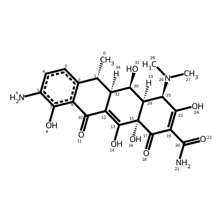 C[C@H]1c2ccc(N)c(O)c2C(=O)C2=C(O)[C@]3(O)C(=O)C(C(N)=O)=C(O)[C@H](N(C)C)[C@@H]3[C@H](O)[C@@H]21